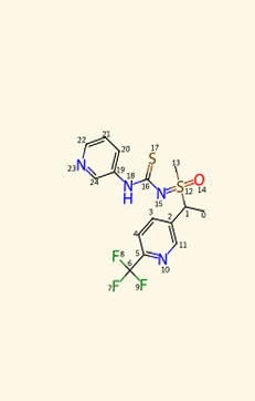 CC(c1ccc(C(F)(F)F)nc1)S(C)(=O)=NC(=S)Nc1cccnc1